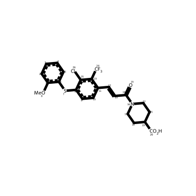 COc1ccccc1Sc1ccc(C=CC(=O)N2CCC(C(=O)O)CC2)c(C(F)(F)F)c1Cl